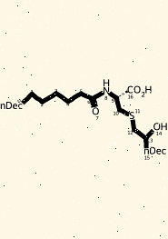 CCCCCCCCCCCCCCCC(=O)N[C@@H](CSCC(O)CCCCCCCCCC)C(=O)O